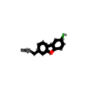 CCOC(=O)Cc1ccc2c(c1)oc1ccc(F)cc12